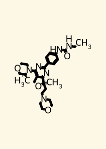 CCNC(=O)Nc1ccc(-c2nc(N3CCOC[C@@H]3C)c3c(n2)[C@](C)(CCN2CCOCC2)OC3)cc1